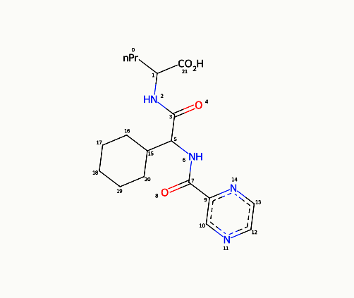 CCCC(NC(=O)C(NC(=O)c1cnccn1)C1CCCCC1)C(=O)O